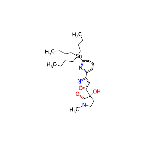 CCC[CH2][Sn]([CH2]CCC)([CH2]CCC)[c]1cccc(-c2cc(C3(O)CCN(C)C3=O)on2)n1